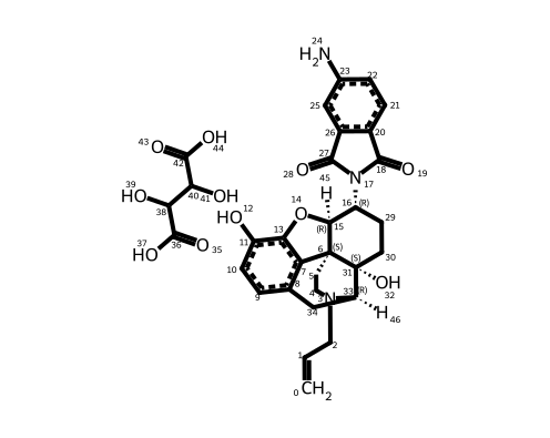 C=CCN1CC[C@]23c4c5ccc(O)c4O[C@H]2[C@H](N2C(=O)c4ccc(N)cc4C2=O)CC[C@@]3(O)[C@H]1C5.O=C(O)C(O)C(O)C(=O)O